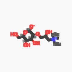 CCCC[N+](C)(CCCC)CC(O)CO[C@@H]1[C@@H](O)[C@@H](O)[C@@H](CO)O[C@H]1[O-]